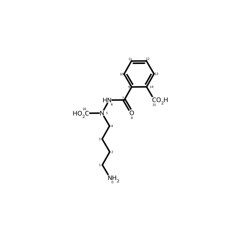 NCCCCN(NC(=O)c1ccccc1C(=O)O)C(=O)O